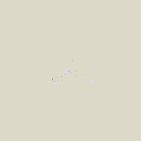 Cc1cc(O)nc2ccc(NC(=O)c3cc(S(=O)(=O)N4CC(N)C4)ccc3N3CCOCC3)cc12.O=C(O)C(F)(F)F